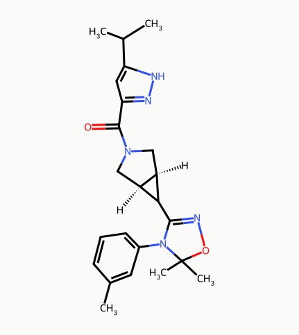 Cc1cccc(N2C(C3[C@H]4CN(C(=O)c5cc(C(C)C)[nH]n5)C[C@@H]34)=NOC2(C)C)c1